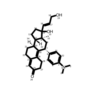 CN(C)c1ccc([C@H]2C[C@@]3(C)[C@@H](CCC3(O)/C=C/CO)[C@@H]3CCC4=CC(=O)CCC4=C32)cc1